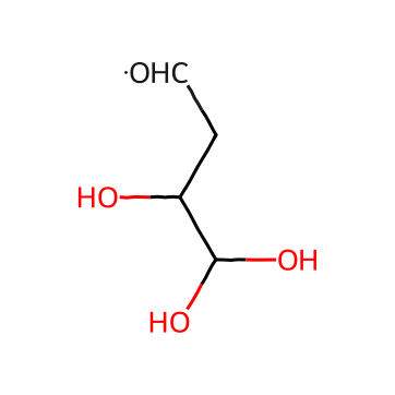 O=[C]CC(O)C(O)O